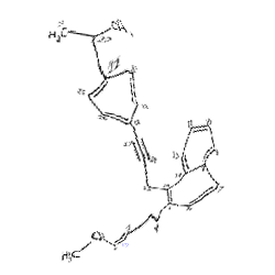 CO/C=C/Cc1ccc2ccccc2c1CC#Cc1ccc(C(C)C)cc1